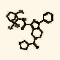 CC12CCC(C1)C(C)(C)C2NC(=O)c1nc(-c2ccccc2)n2c1CN(C(=O)C1CCOC1)CC2